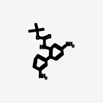 CC(C)(C)OC(=O)Nc1cc(N)ccc1-c1cccc(N)c1